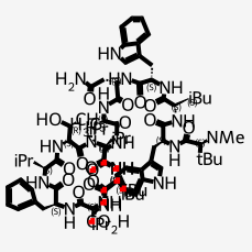 CC[C@H](C)[C@H](NC(=O)[C@H](Cc1c[nH]c2ccccc12)NC(=O)[C@@H](NC)C(C)(C)C)C(=O)N[C@@H](Cc1c[nH]c2ccccc12)C(=O)N[C@@H](CC(N)=O)C(=O)N[C@@H](C)C(=O)N[C@@H](CC(C)C)C(=O)N[C@H](C(=O)N[C@H](C(=O)N[C@@H](Cc1ccccc1)C(=O)N[C@H](C(=O)N[C@H](C(=O)N[C@H](C(=O)N[C@H](C(=O)NCC(=O)O)[C@@H](C)CC)C(C)C)[C@@H](C)O)C(C)C)C(C)C)[C@@H](C)CC